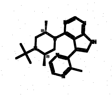 Cc1nccnc1-c1c[nH]c2ncnc(N3C[C@@H](C)N(C(C)(C)C)C[C@@H]3C)c12